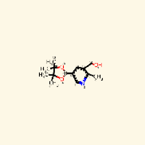 Cc1ncc(B2OC(C)(C)C(C)(C)O2)cc1CO